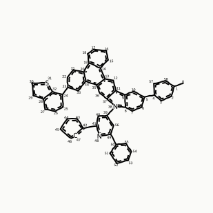 Cc1ccc(-c2ccc3c(c2)c2cc4c5ccccc5c5ccc(-c6cccc7ccsc67)cc5c4cc2n3-c2cc(-c3ccccc3)nc(-c3ccccc3)c2)cc1